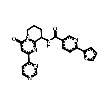 O=C(NC1CCCn2c1nc(-c1ccncn1)cc2=O)c1ccc(-c2cccs2)nc1